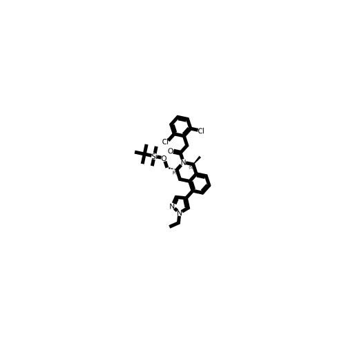 CCn1cc(-c2cccc3c2C[C@H](CO[Si](C)(C)C(C)(C)C)N(C(=O)Cc2c(Cl)cccc2Cl)[C@H]3C)cn1